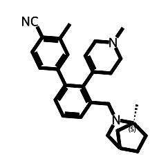 Cc1cc(-c2cccc(CN3CC4CC[C@@]3(C)C4)c2C2=CCN(C)CC2)ccc1C#N